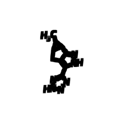 CC1C2Cc3c(n[nH]c3-c3nn[nH]n3)C12